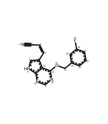 N#C/C=C\c1c[nH]c2ncnc(OCc3cccc(F)c3)c12